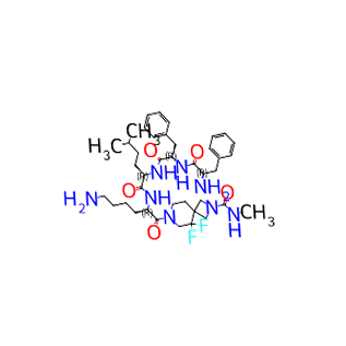 CNC(=O)N1CC2(CCN(C(=O)[C@@H](CCCCN)NC(=O)[C@@H](CCC(C)C)NC(=O)[C@@H](Cc3ccccc3)NC(=O)[C@H](N)Cc3ccccc3)CC2(F)F)C1